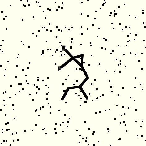 CCC(C)CC1CC1(F)F